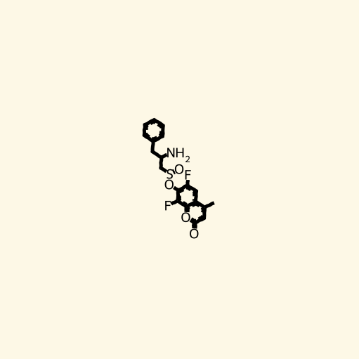 Cc1cc(=O)oc2c(F)c(OS(=O)CC(N)Cc3ccccc3)c(F)cc12